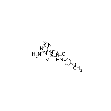 COc1ccc(NC(=O)N2CCN(c3nc(N)nc4scnc34)[C@@H](C3CC3)C2)cc1